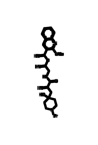 COc1nc2ccccc2cc1C(=N)OC(=N)CNC(=O)C(=N)CC1(O)CCN(C(C)C)CC1